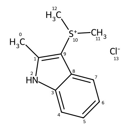 Cc1[nH]c2ccccc2c1[S+](C)C.[Cl-]